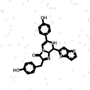 O=C1C(Cc2ccc(O)cc2)=NC2C(c3cc4sccc4s3)NC(c3ccc(O)cc3)=CN12